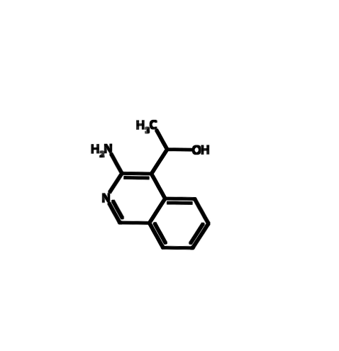 CC(O)c1c(N)ncc2ccccc12